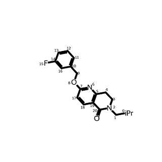 CC(C)CN1CCc2nc(OCc3cccc(F)c3)ccc2C1=O